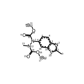 Cc1nc2ccc(N(C(=O)OC(C)(C)C)N(C)C(=O)OC(C)(C)C)cc2s1